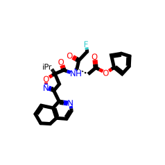 CC(C)C1(C(=O)N[C@@H](CC(=O)Oc2ccccc2)C(=O)CF)CC(c2nccc3c2C=CCC3)=NO1